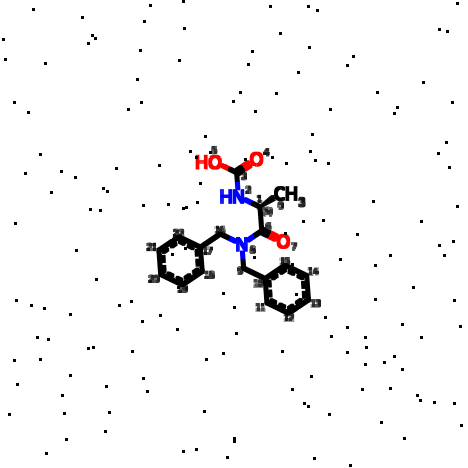 C[C@H](NC(=O)O)C(=O)N(Cc1ccccc1)Cc1ccccc1